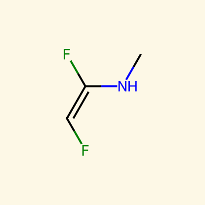 CN/C(F)=C\F